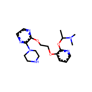 CC(Oc1ncccc1OCCOc1nccnc1N1CCNCC1)N(C)C